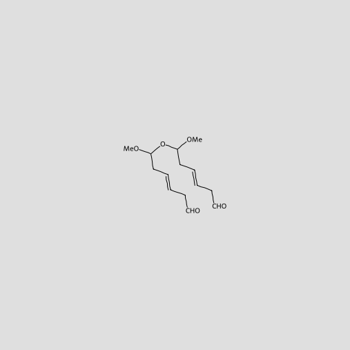 COC(CC=CCC=O)OC(CC=CCC=O)OC